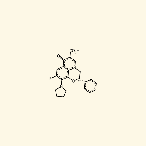 O=C(O)c1cn2c3c(c(N4CCCC4)c(F)cc3c1=O)O[C@@H](c1ccccc1)C2